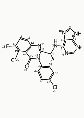 C[C@H](Nc1ncnc2[nH]cnc12)c1nc2ccc(F)c(Cl)c2c(=O)n1-c1ccc(Cl)cc1